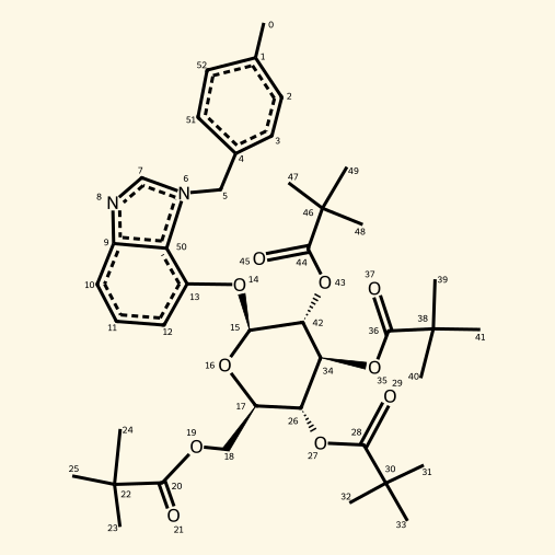 Cc1ccc(Cn2cnc3cccc(O[C@@H]4O[C@H](COC(=O)C(C)(C)C)[C@@H](OC(=O)C(C)(C)C)[C@H](OC(=O)C(C)(C)C)[C@H]4OC(=O)C(C)(C)C)c32)cc1